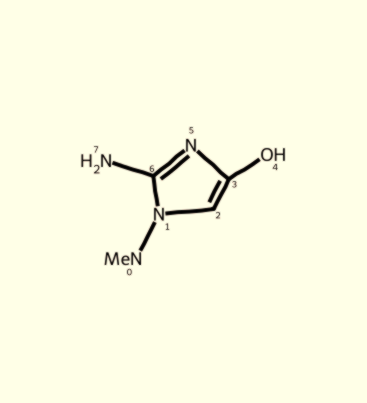 CNn1cc(O)nc1N